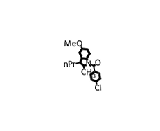 CCCc1c(C)n(C(=O)c2ccc(Cl)cc2)c2ccc(OC)cc12